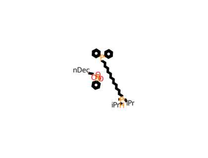 CC(C)C[PH](C)(CCCCCCCCCCCCCCP(c1ccccc1)c1ccccc1)CC(C)C.CCCCCCCCCCCCOS(=O)(=O)c1ccccc1